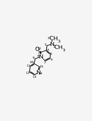 CN(C)Cc1cccn(Cc2cccnc2)c1=O